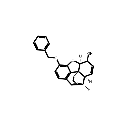 O[C@H]1C=C[C@H]2[C@H]3Cc4ccc(OCc5ccccc5)c5c4[C@@]2(CCN3)[C@H]1O5